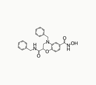 O=C(NO)c1ccc2c(c1)N(Cc1ccccc1)CC(C(=O)NCc1ccccc1)O2